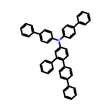 c1ccc(-c2ccc(-c3ccc(N(c4ccc(-c5ccccc5)cc4)c4ccc(-c5ccccc5)cc4)cc3-c3ccccc3)cc2)cc1